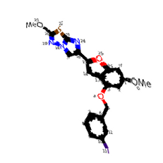 COc1cc(OCc2cccc(I)c2)c2cc(-c3cn4nc(OC)sc4n3)oc2c1